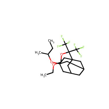 CCOCOC(C(F)(F)F)(C(F)(F)F)C12CC3CC(CC(OC(C)CC)(C3)C1)C2